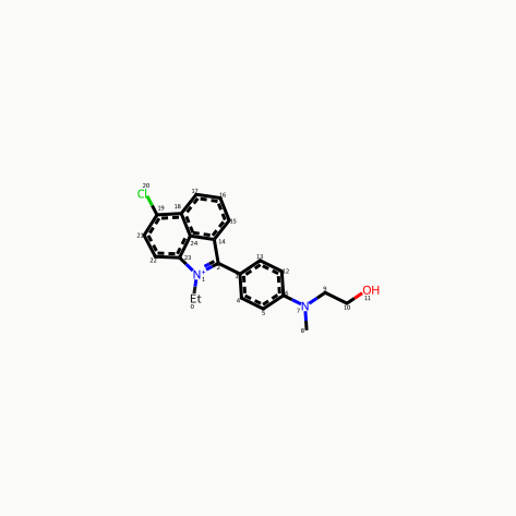 CC[N+]1=C(c2ccc(N(C)CCO)cc2)c2cccc3c(Cl)ccc1c23